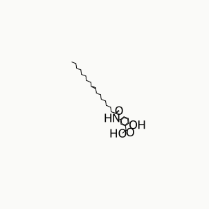 CCCCCCCCC=CCCCCCCCC(=O)Nc1ccc(O)c(C(=O)O)c1